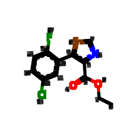 CCOC(=O)c1ncsc1-c1cc(Cl)ccc1F